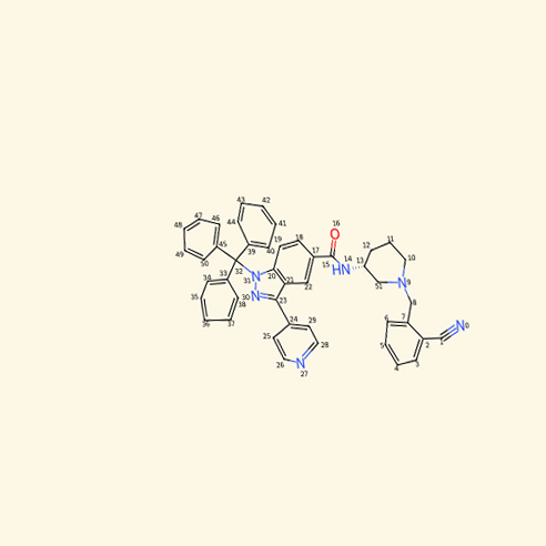 N#Cc1ccccc1CN1CCC[C@@H](NC(=O)c2ccc3c(c2)c(-c2ccncc2)nn3C(c2ccccc2)(c2ccccc2)c2ccccc2)C1